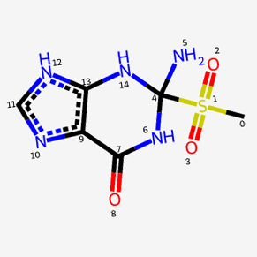 CS(=O)(=O)C1(N)NC(=O)c2nc[nH]c2N1